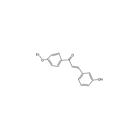 CCOc1ccc(C(=O)/C=C/c2cccc(O)c2)cc1